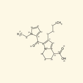 CCCCc1cc2n(c1C(=O)c1cccn1CC)CCCC2C(=O)O